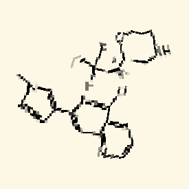 Cn1ccc(-c2cc3ncccc3c(O[C@@H]([C@@H]3CNCCO3)C(F)(F)F)n2)c1